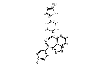 O=C(c1ccc(Cl)cc1)c1c[nH]c2cccc(C(=O)N3CCN(c4ccc(Cl)s4)CC3)c12